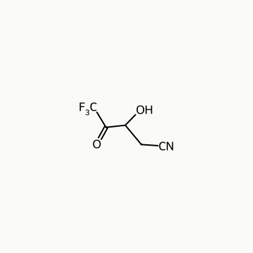 N#CCC(O)C(=O)C(F)(F)F